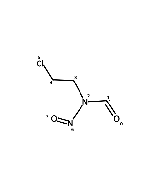 O=[C]N(CCCl)N=O